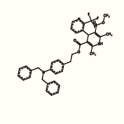 COC(=O)C1=C(C)NC(C)=C(C(=O)OCCc2ccc(N(Cc3ccccc3)Cc3ccccc3)cc2)C1c1cccnc1C(F)(F)F